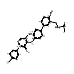 CC(=O)NCc1cc(-c2ccc(Oc3c(N)cnn(-c4ccc(Cl)cc4)c3=O)cc2)ccc1F